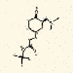 CN(C)/C=C1\CC(CCC(=O)OC(C)(C)C)CCC1=O